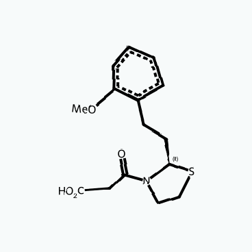 COc1ccccc1CC[C@H]1SCCN1C(=O)CC(=O)O